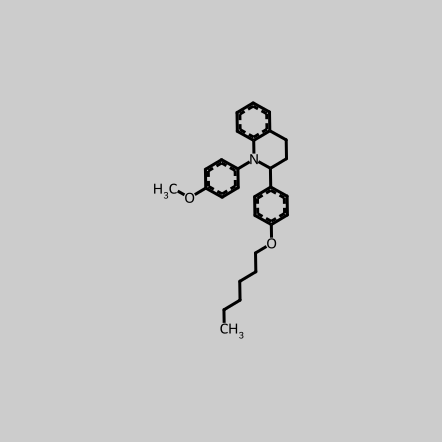 CCCCCCOc1ccc(C2CCc3ccccc3N2c2ccc(OC)cc2)cc1